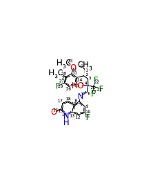 CC[C@H](C[C@@](O)(/C=N/c1cc(F)cc2[nH]c(=O)ccc12)C(F)(F)F)c1ccc(F)c(C)c1OC